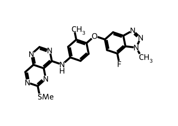 CSc1ncc2ncnc(Nc3ccc(Oc4cc(F)c5c(c4)nnn5C)c(C)c3)c2n1